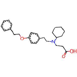 O=C(O)CCN(CCc1ccc(OCCc2ccccc2)cc1)C1CCCCC1